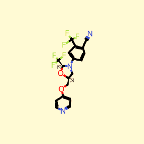 N#Cc1ccc(N2C[C@@H](COc3ccncc3)O[C@H]2C(F)(F)F)cc1C(F)(F)F